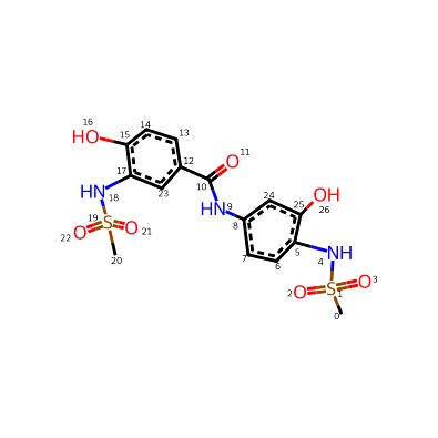 CS(=O)(=O)Nc1ccc(NC(=O)c2ccc(O)c(NS(C)(=O)=O)c2)cc1O